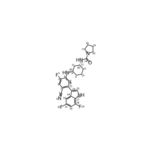 N#Cc1cc(F)c(N[C@@H]2CCC[C@@H](NC(=O)N3CCCC3)C2)nc1-c1c[nH]c2c(F)cc(F)cc12